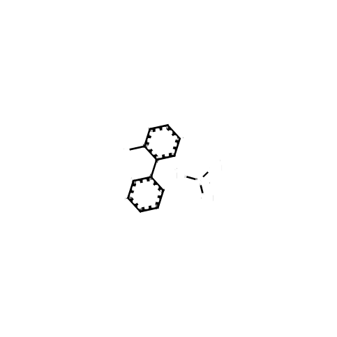 CCCc1ccccc1-c1ccccc1.OB(O)O